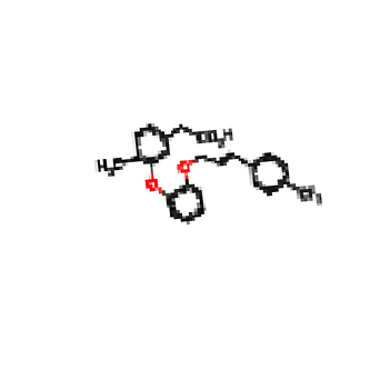 Cc1ccc(CC(=O)O)cc1Oc1ccccc1OCC=Cc1ccc(C(F)(F)F)cc1